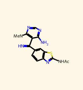 CNc1ncnc(N)c1C(=N)c1ccc2nc(NC(C)=O)sc2c1